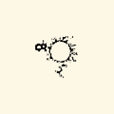 CC(C)[C@H]1NC(=O)[C@H](CC(=O)O)NC(=O)[C@@H](C)N(C)C(=O)[C@@H](Cc2c[nH]c3ccccc23)NC(O)CSC[C@@H](C(=O)NCC(N)=O)NC(=O)[C@H](CO)N(C)C1=O